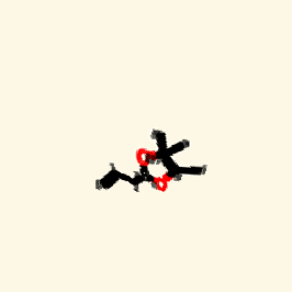 C=CCB1OC(C)C(C)(C)O1